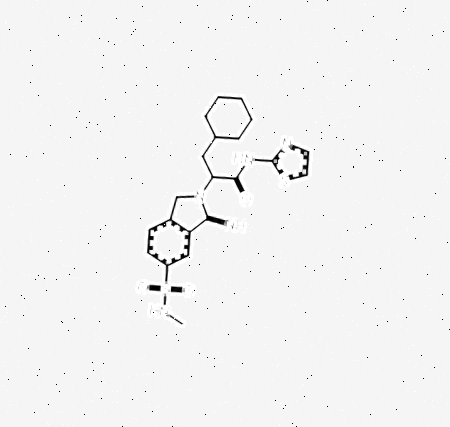 CNS(=O)(=O)c1ccc2c(c1)C(=N)N(C(CC1CCCCC1)C(=O)Nc1nccs1)C2